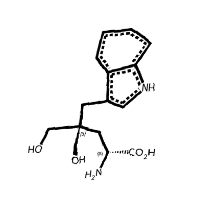 N[C@H](C[C@](O)(CO)Cc1c[nH]c2ccccc12)C(=O)O